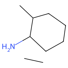 CC.CC1CCCCC1N